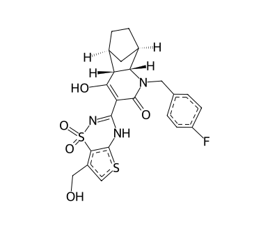 O=C1C(C2=NS(=O)(=O)c3c(CO)csc3N2)=C(O)[C@@H]2[C@H]3CC[C@H](C3)[C@@H]2N1Cc1ccc(F)cc1